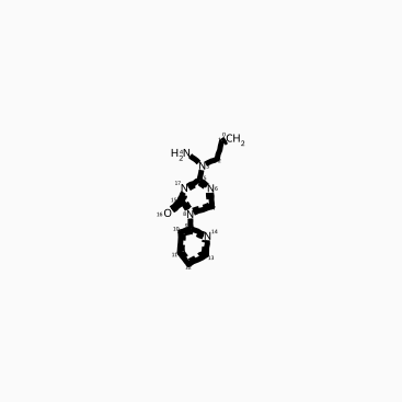 C=CCN(N)c1ncn(-c2ccccn2)c(=O)n1